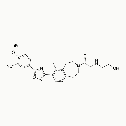 Cc1c(-c2noc(-c3ccc(OC(C)C)c(C#N)c3)n2)ccc2c1CCN(C(=O)CNCCO)CC2